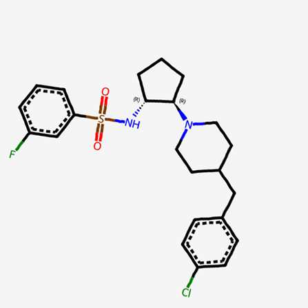 O=S(=O)(N[C@@H]1CCC[C@H]1N1CCC(Cc2ccc(Cl)cc2)CC1)c1cccc(F)c1